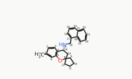 Cc1ccc2c(c1)OC1(CCCC1)C[C@H]2NCc1cccc2ccccc12